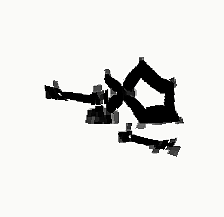 CCCC[N+]1(C)C=CC=C1.N#CN.N#CN